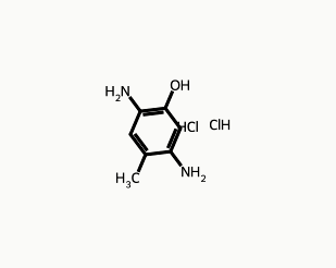 Cc1cc(N)c(O)cc1N.Cl.Cl